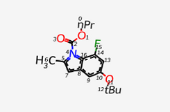 CCCOC(=O)n1c(C)cc2cc(OC(C)(C)C)cc(F)c21